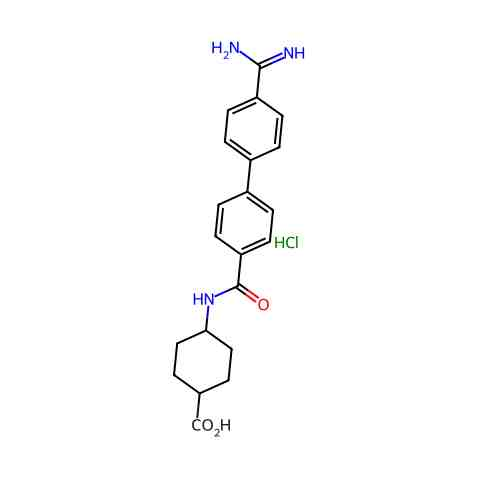 Cl.N=C(N)c1ccc(-c2ccc(C(=O)NC3CCC(C(=O)O)CC3)cc2)cc1